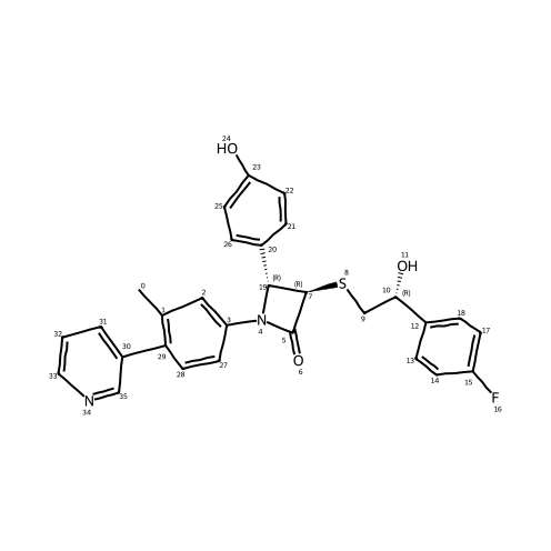 Cc1cc(N2C(=O)[C@H](SC[C@H](O)c3ccc(F)cc3)[C@H]2c2ccc(O)cc2)ccc1-c1cccnc1